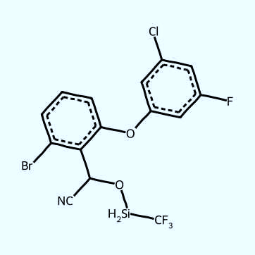 N#CC(O[SiH2]C(F)(F)F)c1c(Br)cccc1Oc1cc(F)cc(Cl)c1